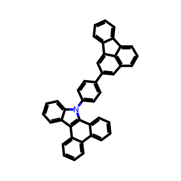 c1ccc2c(c1)-c1cccc3cc(-c4ccc(-n5c6ccccc6c6c7ccccc7c7ccccc7c65)cc4)cc-2c13